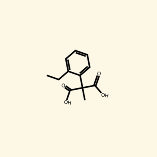 CCc1ccccc1C(C)(C(=O)O)C(=O)O